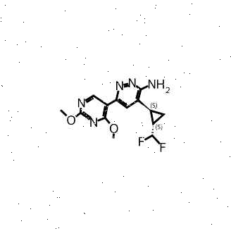 COc1ncc(-c2cc([C@H]3C[C@@H]3C(F)F)c(N)nn2)c(OC)n1